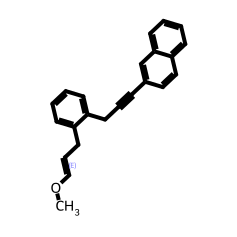 CO/C=C/Cc1ccccc1CC#Cc1ccc2ccccc2c1